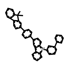 CC1(C)c2ccccc2-c2ccc(-c3ccc(-c4ccc5c(c4)c4ccccc4n5-c4cccc(-c5ccccc5)c4)cc3)cc21